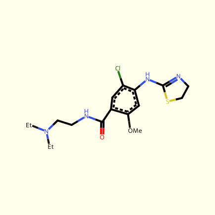 CCN(CC)CCNC(=O)c1cc(Cl)c(NC2=NCCS2)cc1OC